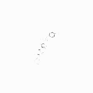 O=C(NCc1ccc(Cl)c(Cl)c1)c1nn2c(c1O)C(=O)N(C(=O)CN1CCOCC1)CC2